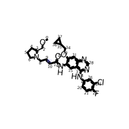 COC[C@@H]1CCCN1C/C=C/C(=O)Nc1cc2c(Nc3ccc(F)c(Cl)c3)ncnc2cc1OCC1CC1